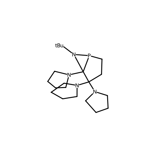 CC(C)(C)N1P2CCC(N3CCCC3)(N3CCCC3)C12N1CCCC1